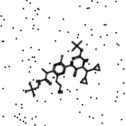 CC(C(=O)NCC(F)(F)F)c1cc(F)c(NC(=O)[C@@H](NC(=O)OC(C)(C)C)C(C2CC2)C2CC2)cc1CCO